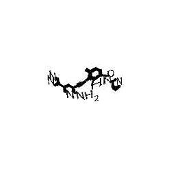 Cc1ccc(C(=O)Nc2cccnc2)cc1C#Cc1cc(-c2cnn(C)c2)cnc1N